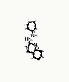 c1ccc(NNc2ncc3ccccc3n2)cc1